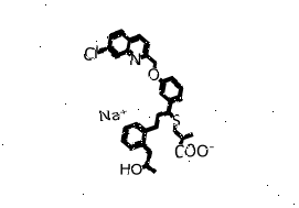 CC(O)Cc1ccccc1CCC(SCC(C)C(=O)[O-])c1cccc(OCc2ccc3ccc(Cl)cc3n2)c1.[Na+]